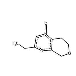 CCc1cc(=O)c2c(o1)COCC2